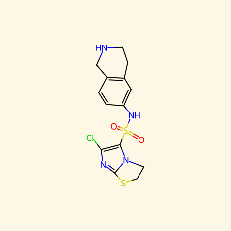 O=S(=O)(Nc1ccc2c(c1)CCNC2)c1c(Cl)nc2n1CCS2